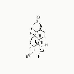 C[C@]12CC[C@H]3[C@@H](CCC4=CC(=O)CC[C@@H]43)[C@@H]1[C@H]1C[C@H]1[C@@H]2C#N